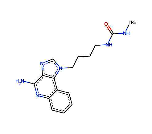 CC(C)(C)NC(=O)NCCCCn1cnc2c(N)nc3ccccc3c21